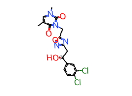 Cc1cn(C)c(=O)n(Cc2nc(C[C@H](O)c3ccc(Cl)c(Cl)c3)no2)c1=O